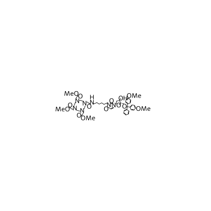 COC(=O)CN1CCN(CC(=O)NCCCCCCn2c(=O)ccn([C@H]3C[C@@H](O)[C@@H](COC(c4ccccc4)(c4ccc(OC)cc4)c4ccc(OC)cc4)O3)c2=O)CCN(CC(=O)OC)CCN(CC(=O)OC)CC1